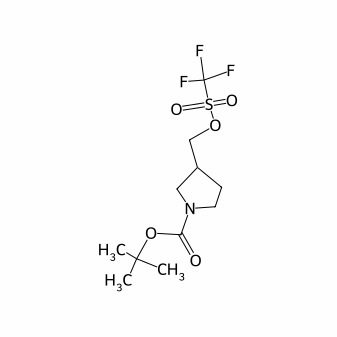 CC(C)(C)OC(=O)N1CCC(COS(=O)(=O)C(F)(F)F)C1